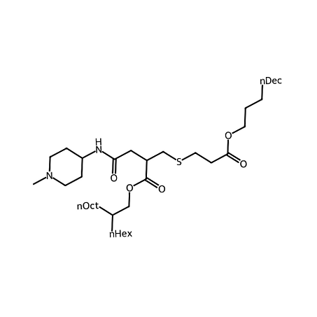 CCCCCCCCCCCCCOC(=O)CCSCC(CC(=O)NC1CCN(C)CC1)C(=O)OCC(CCCCCC)CCCCCCCC